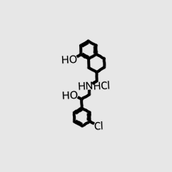 Cl.Oc1cccc2c1CC(CNCC(O)c1cccc(Cl)c1)CC2